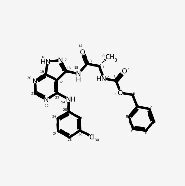 C[C@H](NC(=O)OCc1ccccc1)C(=O)Nc1n[nH]c2ncnc(Nc3cccc(Cl)c3)c12